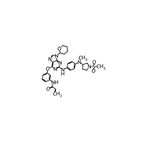 C=CC(=O)Nc1cccc(Oc2nc(Nc3ccc(N(C)C4CCN(S(C)(=O)=O)C4)cc3)nc3c2ncn3C2CCCCO2)c1